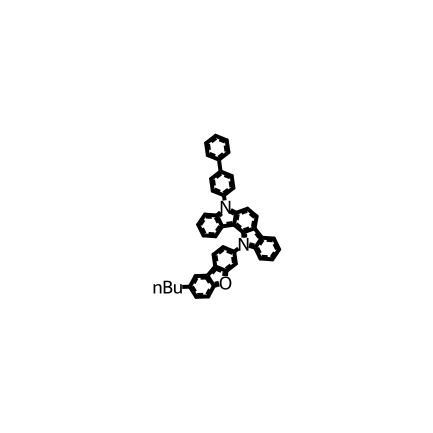 CCCCc1ccc2oc3cc(-n4c5ccccc5c5ccc6c(c7ccccc7n6-c6ccc(-c7ccccc7)cc6)c54)ccc3c2c1